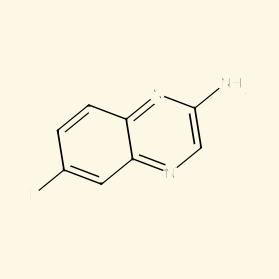 Nc1cnc2cc(F)ccc2n1